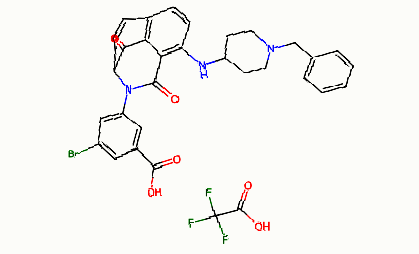 O=C(O)C(F)(F)F.O=C(O)c1cc(Br)cc(N2C(=O)c3c(NC4CCN(Cc5ccccc5)CC4)ccc4c3C(=O)C2C=C4)c1